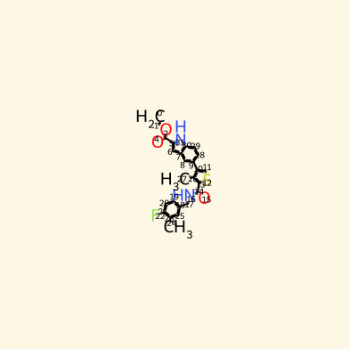 C=COC(=O)c1cc2cc(-c3csc(C(=O)NCc4ccc(F)c(C)c4)c3C)ccc2[nH]1